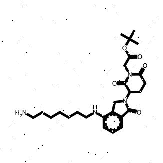 CC(C)(C)OC(=O)CN1C(=O)CCC(N2Cc3c(NCCCCCCCN)cccc3C2=O)C1=O